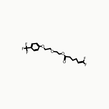 O=C(CCCC=C(F)F)OCCOCCOc1ccc(C(F)(F)F)cc1